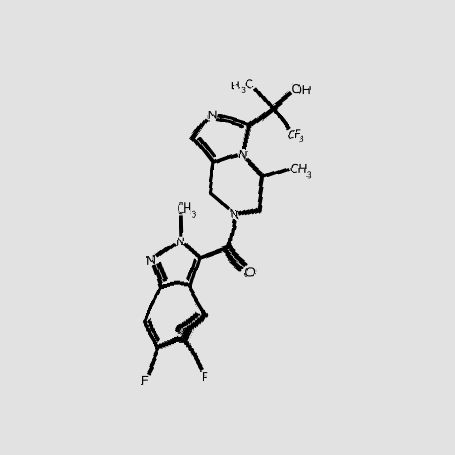 CC1CN(C(=O)c2c3cc(F)c(F)cc3nn2C)Cc2cnc(C(C)(O)C(F)(F)F)n21